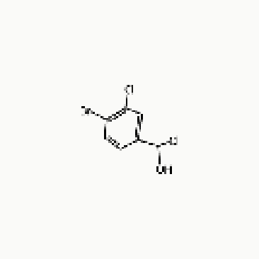 OC(Cl)c1ccc(Br)c(Cl)c1